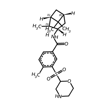 Cc1ccc(C(=O)N[C@H]2C[C@H]3C[C@@H]([C@@H]2C)C3(C)C)cc1S(=O)(=O)C1CNCCO1